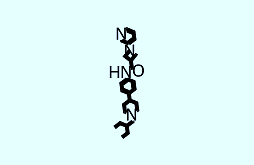 CCC(CC)CN1CCC(c2ccc(NC(=O)C3CN(c4cccnc4)C3)cc2)CC1